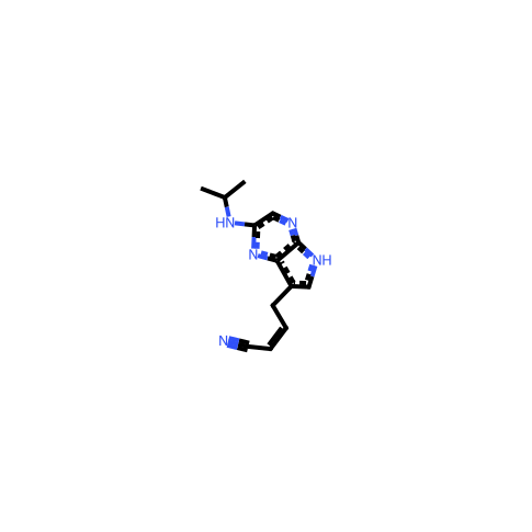 CC(C)Nc1cnc2[nH]cc(C/C=C\C#N)c2n1